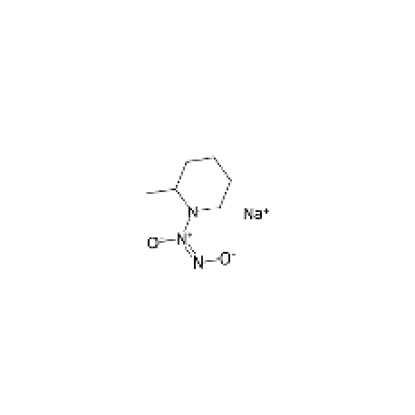 CC1CCCCN1/[N+]([O-])=N\[O-].[Na+]